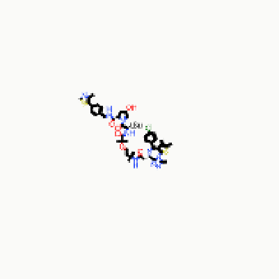 Cc1ncsc1-c1ccc(CNC(=O)[C@@H]2C[C@@H](O)CN2C(=O)[C@@H](NC(=O)C(C)(C)OCCC(C)(C)NC(=O)C[C@@H]2N=C(c3ccc(Cl)cc3)c3c(sc(C)c3C)-n3c(C)nnc32)C(C)(C)C)cc1